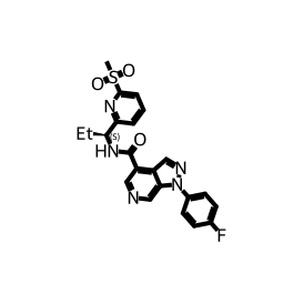 CC[C@H](NC(=O)c1cncc2c1cnn2-c1ccc(F)cc1)c1cccc(S(C)(=O)=O)n1